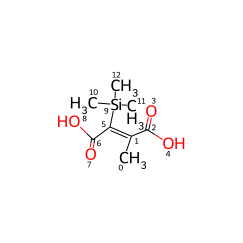 C/C(C(=O)O)=C(\C(=O)O)[Si](C)(C)C